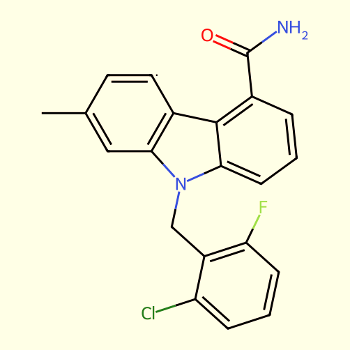 Cc1c[c]c2c3c(C(N)=O)cccc3n(Cc3c(F)cccc3Cl)c2c1